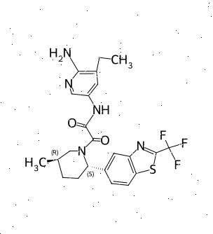 CCc1cc(NC(=O)C(=O)N2C[C@H](C)CC[C@H]2c2ccc3sc(C(F)(F)F)nc3c2)cnc1N